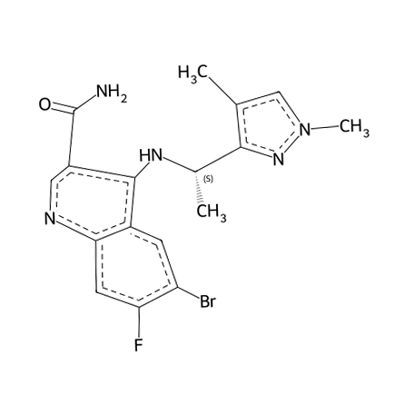 Cc1cn(C)nc1[C@H](C)Nc1c(C(N)=O)cnc2cc(F)c(Br)cc12